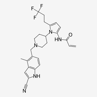 C=CC(=O)Nc1ccc(CCC(F)(F)F)n1C1CCN(Cc2ccc3[nH]c(C#N)cc3c2C)CC1